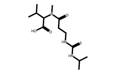 CC(C)NC(=S)NCCC(=O)N(C)C(C(=O)O)C(C)C